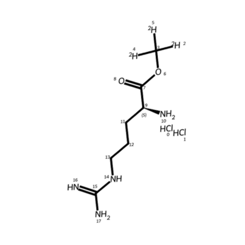 Cl.Cl.[2H]C([2H])([2H])OC(=O)[C@@H](N)CCCNC(=N)N